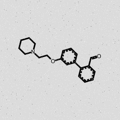 O=Cc1ccccc1-c1cccc(OCCN2CCCCC2)c1